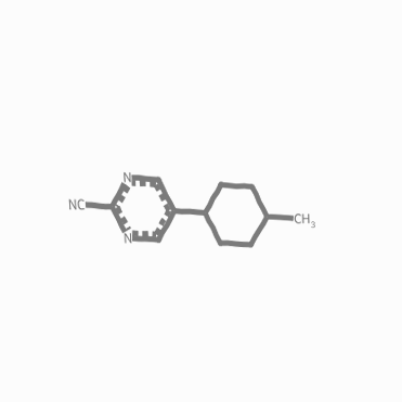 CC1CCC(c2cnc(C#N)nc2)CC1